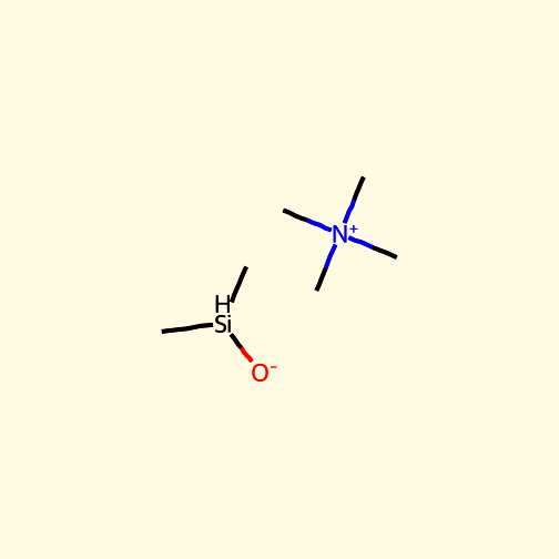 C[N+](C)(C)C.C[SiH](C)[O-]